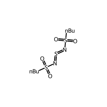 CCCCS(=O)(=O)N=S=NS(=O)(=O)CCCC